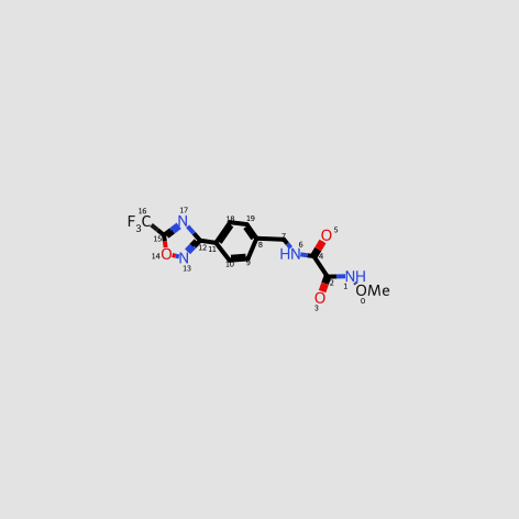 CONC(=O)C(=O)NCc1ccc(-c2noc(C(F)(F)F)n2)cc1